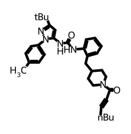 CCCCC#CC(=O)N1CCC(Cc2ccccc2NC(=O)Nc2cc(C(C)(C)C)nn2-c2ccc(C)cc2)CC1